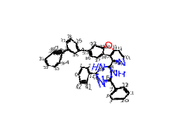 c1ccc(C2=NC(c3ccccc3)NC(c3nccc4oc5cc(-c6cccc(-c7ccccc7)c6)ccc5c34)N2)cc1